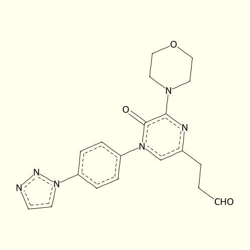 O=CCCc1cn(-c2ccc(-n3ccnn3)cc2)c(=O)c(N2CCOCC2)n1